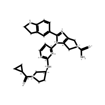 NC(=O)N1Cc2nc(-c3ccc4c(c3)CCO4)n(-c3ccnc(N[C@H]4CCN(C(=O)C5CC5)C4)n3)c2C1